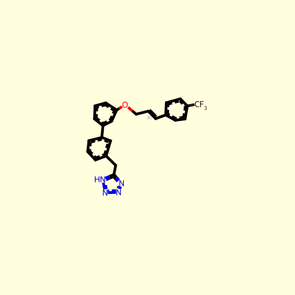 FC(F)(F)c1ccc(/C=C/COc2cccc(-c3cccc(Cc4nnn[nH]4)c3)c2)cc1